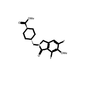 COc1c(F)cc2c(c1F)C(=O)N(C[C@H]1CC[C@H](C(=O)OC)CC1)C2